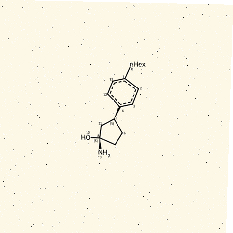 CCCCCCc1ccc([C@H]2CC[C@](N)(O)C2)cc1